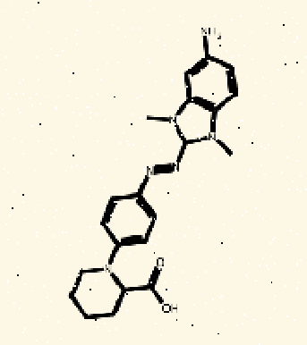 CN1c2ccc(N)cc2N(C)C1N=Nc1ccc(N2CCCCC2C(=O)O)cc1